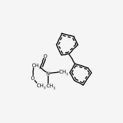 CN(C)C=O.COC.c1ccc(-c2ccccc2)cc1